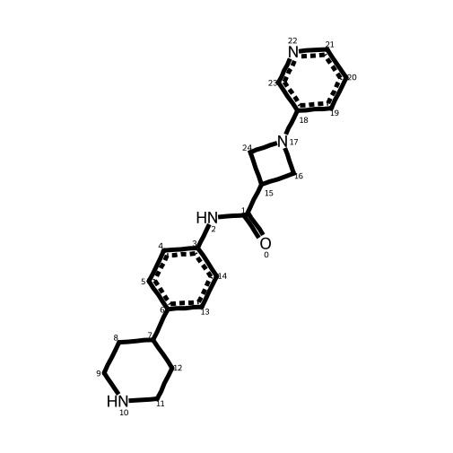 O=C(Nc1ccc(C2CCNCC2)cc1)C1CN(c2cccnc2)C1